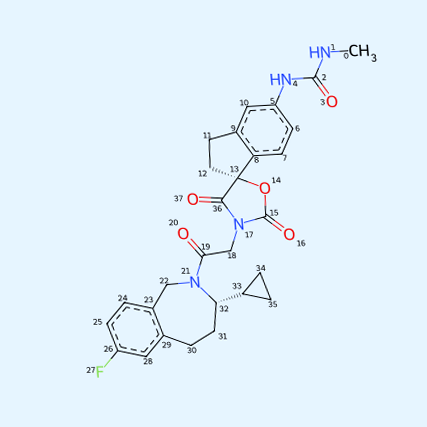 CNC(=O)Nc1ccc2c(c1)CC[C@@]21OC(=O)N(CC(=O)N2Cc3ccc(F)cc3CC[C@H]2C2CC2)C1=O